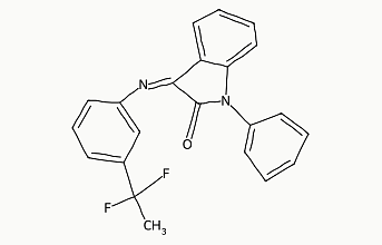 CC(F)(F)c1cccc(N=C2C(=O)N(c3ccccc3)c3ccccc32)c1